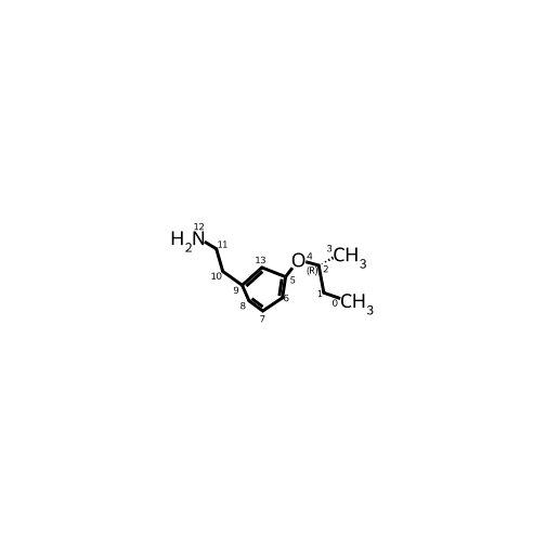 CC[C@@H](C)Oc1cccc(CCN)c1